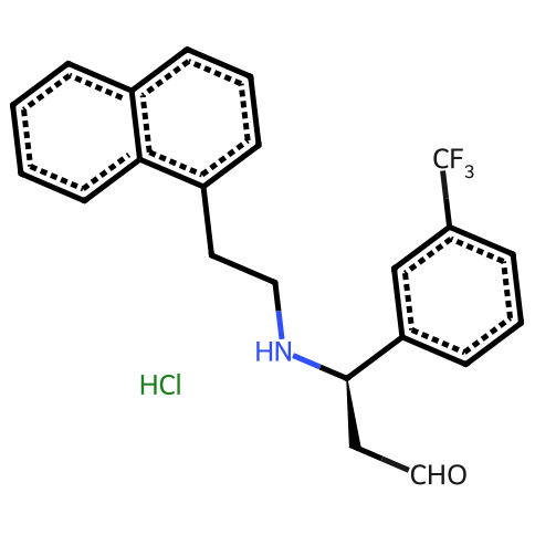 Cl.O=CC[C@@H](NCCc1cccc2ccccc12)c1cccc(C(F)(F)F)c1